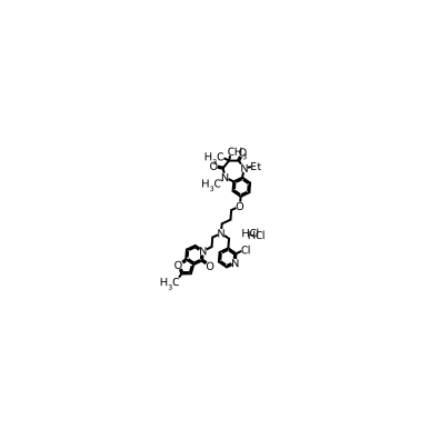 CCN1C(=O)C(C)(C)C(=O)N(C)c2cc(OCCCN(CCn3ccc4oc(C)cc4c3=O)Cc3cccnc3Cl)ccc21.Cl.Cl